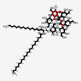 CCCCCCCCCCCCC/C=C/[C@@H](O)[C@H](CO[C@@H]1OC(CO)[C@@H](O[C@@H]2OC(CO)[C@H](O)[C@H](O[C@@H]3OC(CO)[C@@H](O)[C@H](O[C@@H]4OC(CO)[C@H](O)[C@H](O[C@@H]5OC(CO)[C@@H](O)[C@H](O[C@@H]6OC(CO)[C@H](O)[C@H](O)C6O[C@H]6OC(C)[C@@H](O)C(O)[C@@H]6O)C5NC(C)=O)C4O)C3NC(C)=O)C2O)[C@H](O)C1O)NC(=O)CCCCCCCCCCCCCCCCCCCCC